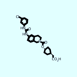 O=C(O)C[C@H]1CC[C@H](OC(=O)N2CCc3cc(NC(=O)Nc4cccc(Cl)c4)ccc3C2)CC1